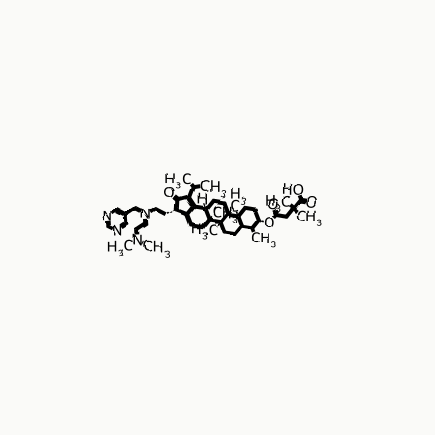 CC(C)C1=C2C(CC[C@]3(C)[C@@H]2CCC2[C@@]4(C)CC[C@H](OC(=O)CC(C)(C)C(=O)O)C(C)C4CC[C@]23C)[C@H](CCN(CCN(C)C)Cc2cncnc2)C1=O